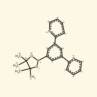 CC1(C)OB(c2cc(-c3ccccn3)cc(-c3ccccn3)c2)OC1(C)C